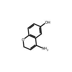 NC1=CCOc2ccc(O)cc21